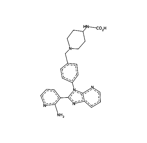 Nc1ncccc1-c1nc2cccnc2n1-c1ccc(CN2CCC(NC(=O)O)CC2)cc1